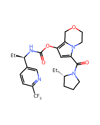 CC[C@H]1CCCN1C(=O)c1cc(OC(=O)N[C@H](CC)c2ccc(C(F)(F)F)nc2)c2n1CCOC2